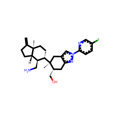 C=C1CC[C@H]2[C@H](CN)[C@@H]([C@@]3(C)Cc4cn(-c5ccc(F)cn5)nc4C[C@@H]3CO)CC[C@]12C